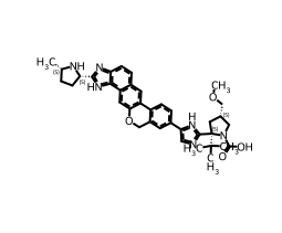 COC[C@@H]1CN(C(=O)O)[C@](c2ncc(-c3ccc4c(c3)COc3cc5c(ccc6nc([C@@H]7CC[C@H](C)N7)[nH]c65)cc3-4)[nH]2)(C(C)(C)C)C1